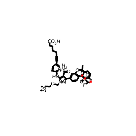 CC(Oc1cc(-c2nn(COCC[Si](C)(C)C)c(Nc3ccc(C#CCCCCC(=O)O)cn3)c2C(N)=O)ccc1NS(=O)(=O)C(F)F)c1ccc(F)cc1